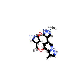 Cc1cnn2cc(-c3cnn(C(C)(C)C)c3)cc(O[C@H](C)C3CNC(=O)C3)c12